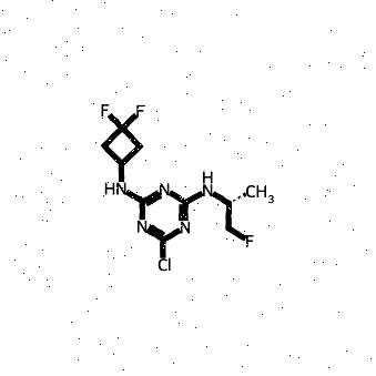 C[C@H](CF)Nc1nc(Cl)nc(NC2CC(F)(F)C2)n1